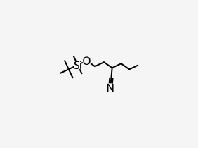 CCCC(C#N)CCO[Si](C)(C)C(C)(C)C